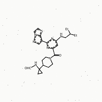 CCC(CC)CNc1cc(C(=O)N2CCC(C3(NC=O)CC3)CC2)nc(-c2cnn3ccsc23)n1